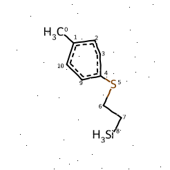 Cc1ccc(SCC[SiH3])cc1